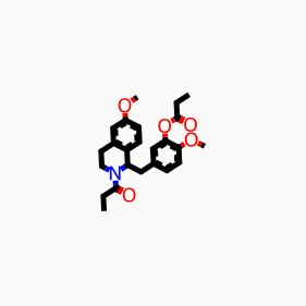 CCC(=O)Oc1cc(CC2c3ccc(OC)cc3CCN2C(=O)CC)ccc1OC